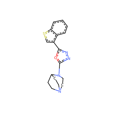 c1ccc2c(-c3nnc(N4CCN5CCC4CC5)o3)csc2c1